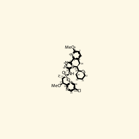 COc1ccc2c(n1)-c1nnc(NS(=O)(=O)[C@@H](C)[C@H](OC)c3ncc(Cl)cn3)n1[C@H]([C@@H]1CCCCO1)C2